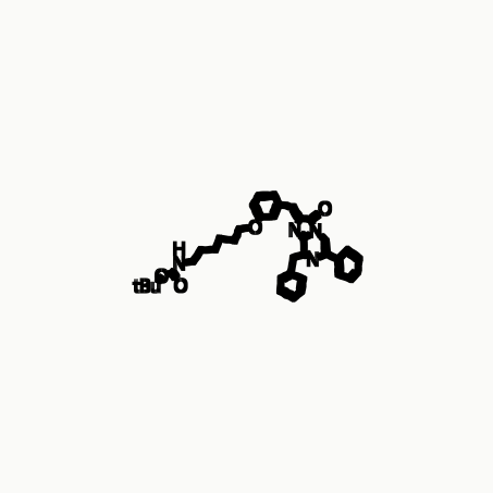 CC(C)(C)OC(=O)NCCCCCCOc1cccc(/C=C2\N=C3C(Cc4ccccc4)=NC(c4ccccc4)=CN3C2=O)c1